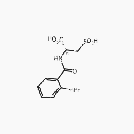 CCCc1ccccc1C(=O)N[C@@H](CS(=O)(=O)O)C(=O)O